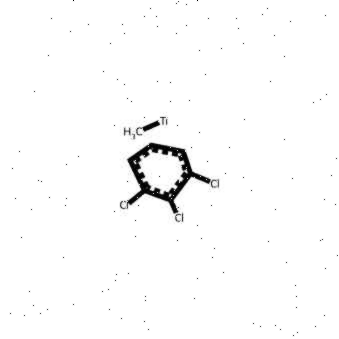 Clc1cccc(Cl)c1Cl.[CH3][Ti]